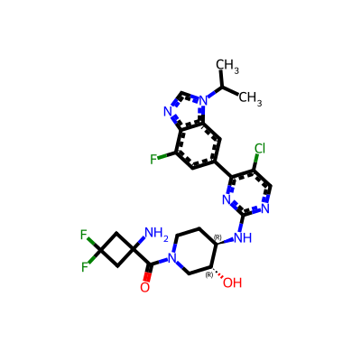 CC(C)n1cnc2c(F)cc(-c3nc(N[C@@H]4CCN(C(=O)C5(N)CC(F)(F)C5)C[C@H]4O)ncc3Cl)cc21